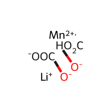 O=C([O-])O.O=C([O-])[O-].[Li+].[Mn+2]